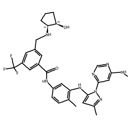 CNc1cc(-n2nc(C)cc2Nc2cc(NC(=O)c3cc(CN[C@H]4CCC[C@H]4O)cc(C(F)(F)F)c3)ccc2C)ncn1